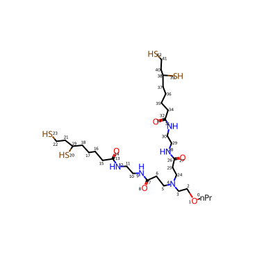 CCCOCCN(CCC(=O)NCCNC(=O)CCCCC(S)CCS)CCC(=O)NCCNC(=O)CCCCC(S)CCS